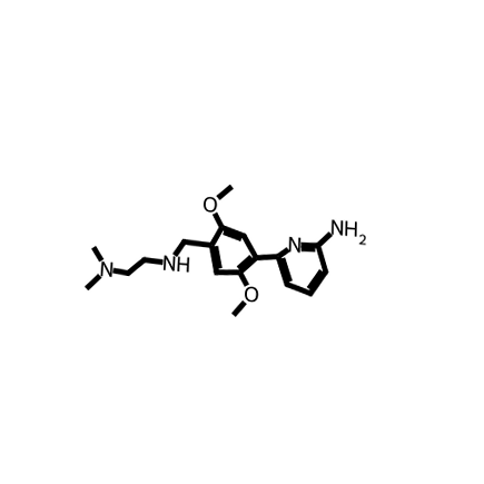 COc1cc(-c2cccc(N)n2)c(OC)cc1CNCCN(C)C